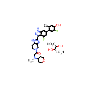 CCc1cc(O)c(F)cc1-c1cc(F)c2c(-c3nc4c([nH]3)CCN(C(=O)CN(C)C3CCOCC3)C4)n[nH]c2c1.O=C(O)[C@H](O)[C@@H](O)C(=O)O